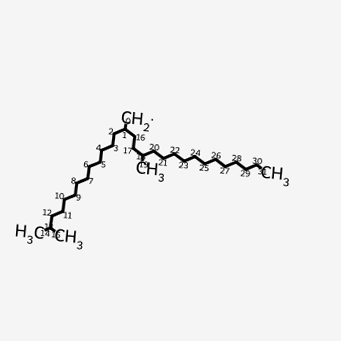 [CH2]C(CCCCCCCCCCCC(C)C)CCC(C)CCCCCCCCCCCC